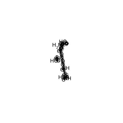 Nc1nnc(-c2ccccc2O)cc1N1CCN(C(=O)CCOCCOCCOCCOCCNC(=O)CCCC[C@@H]2SC[C@@H]3NC(=O)N[C@@H]32)CC1.O=C(O)C(F)(F)F